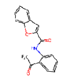 O=C(Nc1ccccc1C(=O)C(F)(F)F)c1cc2ccccc2o1